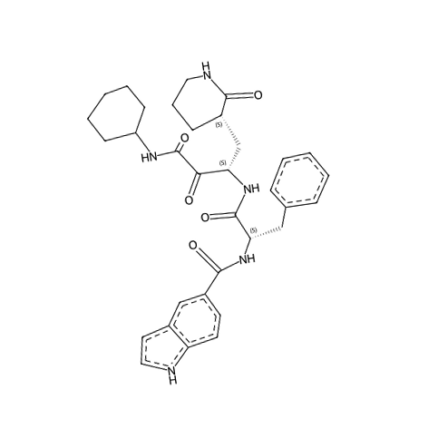 O=C(NC1CCCCC1)C(=O)[C@H](C[C@@H]1CCCNC1=O)NC(=O)[C@H](Cc1ccccc1)NC(=O)c1ccc2[nH]ccc2c1